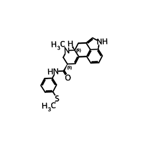 CSc1cccc(NC(=O)[C@@H]2C=C3c4cccc5[nH]cc(c45)C[C@H]3N(C)C2)c1